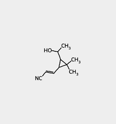 CC(O)C1C(C=CC#N)C1(C)C